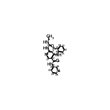 CCNC(=O)Nc1cc(Nc2ccccc2F)c(C(=O)Nc2cccnc2)cn1